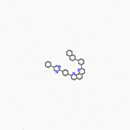 c1ccc(-c2cnc(-c3ccc(-c4ccc5ccc6ccc(-c7cccc(-c8ccc9ccccc9c8)c7)nc6c5n4)cc3)nc2)cc1